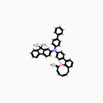 C=C1/C=C\C=C/Cc2cccc(-c3ccc(N(c4ccc(-c5ccccc5)cc4)c4ccc5c(c4)C(C)(C)c4ccccc4-5)cc3)c2O1